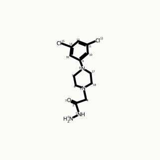 NNC(=O)CN1CCN(c2cc(Cl)cc(Cl)c2)CC1